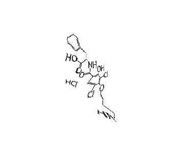 CNCCCCOc1c(Cl)cc(C(=O)N[C@@H](Cc2ccccc2)C(=O)O)c(O)c1Cl.Cl